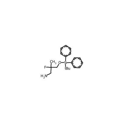 CC(F)(CN)CO[Si](c1ccccc1)(c1ccccc1)C(C)(C)C